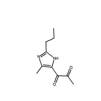 CCCc1nc(C)c(C(=O)C(C)=O)[nH]1